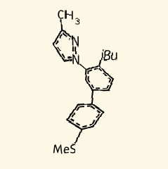 CCC(C)c1ccc(-c2ccc(SC)cc2)cc1-n1ccc(C)n1